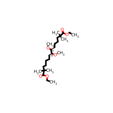 CCOC(=O)C(C)(C)CCCCC[C@H](OC)[C@H](CCCCC(C)(C)C(=O)OCC)OC